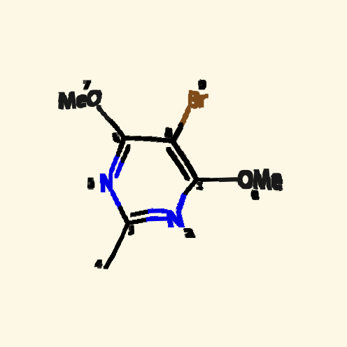 COc1nc(C)nc(OC)c1Br